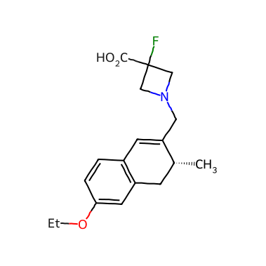 CCOc1ccc2c(c1)C[C@@H](C)C(CN1CC(F)(C(=O)O)C1)=C2